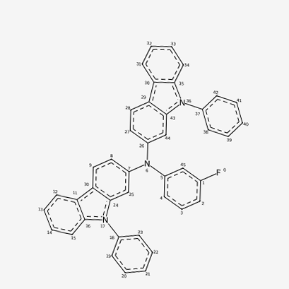 Fc1cccc(N(c2ccc3c4ccccc4n(-c4ccccc4)c3c2)c2ccc3c4ccccc4n(-c4ccccc4)c3c2)c1